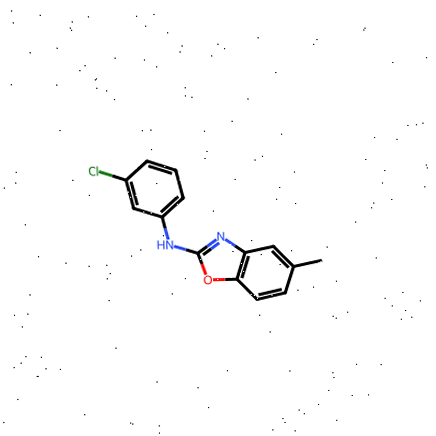 Cc1ccc2oc(Nc3cccc(Cl)c3)nc2c1